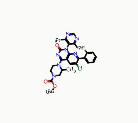 CC(C)c1ncnc(C(C)C)c1-n1c(=O)nc(N2CCN(C(=O)OC(C)(C)C)CC2C)c2cc(Cl)c(-c3ccccc3F)nc21